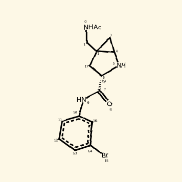 CC(=O)NCC12CC1N[C@H](C(=O)Nc1cccc(Br)c1)C2